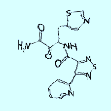 NC(=O)C(=O)C(Cc1cncs1)NC(=O)c1nsnc1-c1ccccn1